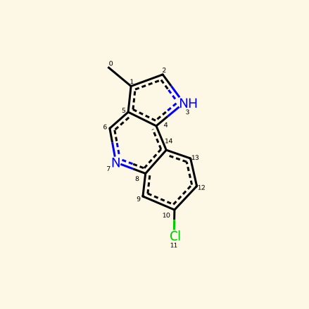 Cc1c[nH]c2c1cnc1cc(Cl)ccc12